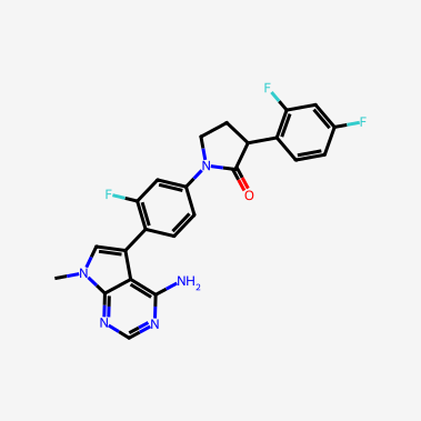 Cn1cc(-c2ccc(N3CCC(c4ccc(F)cc4F)C3=O)cc2F)c2c(N)ncnc21